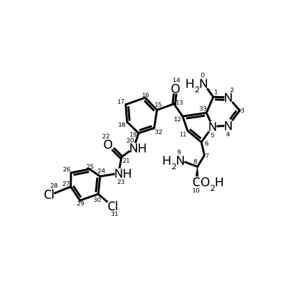 Nc1ncnn2c(C[C@H](N)C(=O)O)cc(C(=O)c3cccc(NC(=O)Nc4ccc(Cl)cc4Cl)c3)c12